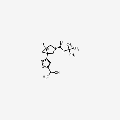 CC(O)c1cc(C23C[C@H]2CN(C(=O)OC(C)(C)C)C3)no1